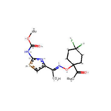 CC(C)COC(=O)C1(O/N=C(\C(=O)O)c2csc(NC(=O)OC(C)(C)C)n2)CCC(F)(F)CC1